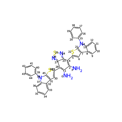 Nc1c(N)c(-c2cc3c4ccccc4n(-c4ccccc4)c3s2)c2nsnc2c1-c1cc2c3ccccc3n(-c3ccccc3)c2s1